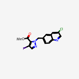 COC(=O)c1c(I)cnn1Cc1ccc2ncc(Cl)cc2c1